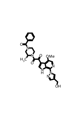 COc1cnc(-n2cc(CO)cn2)c2[nH]cc(C(=O)C(=O)N3CCN(C(=O)c4ccccc4)CC3C)c12